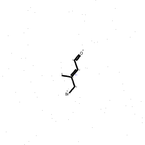 C/C(=C\C=O)CBr